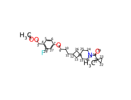 COOCc1ccc(OCCCC2CC3(CCN(C(=O)C4(C)CC4)CC3)C2)cc1F